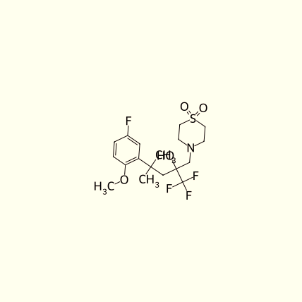 COc1ccc(F)cc1C(C)(C)CC(O)(CN1CCS(=O)(=O)CC1)C(F)(F)F